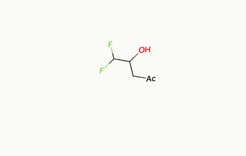 CC(=O)CC(O)C(F)F